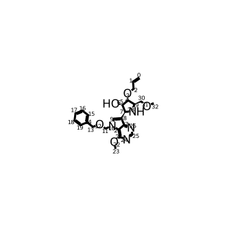 C=CCO[C@H]1[C@@H](O)[C@H](c2cn(COCc3ccccc3)c3c(OC)ncnc23)N[C@@H]1COC